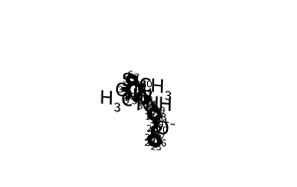 CN1C(=O)c2sccc2N(C)c2nc(Nc3ccc([S+]([O-])Cc4ccccc4)cc3)ncc21